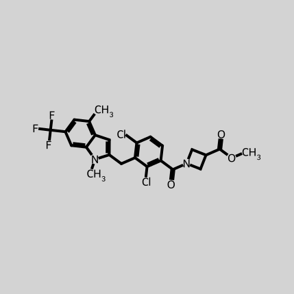 COC(=O)C1CN(C(=O)c2ccc(Cl)c(Cc3cc4c(C)cc(C(F)(F)F)cc4n3C)c2Cl)C1